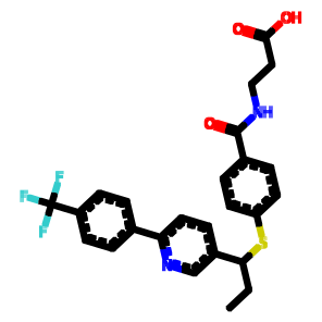 CCC(Sc1ccc(C(=O)NCCC(=O)O)cc1)c1ccc(-c2ccc(C(F)(F)F)cc2)nc1